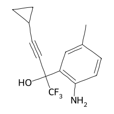 Cc1ccc(N)c(C(O)(C#CC2CC2)C(F)(F)F)c1